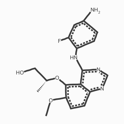 COc1ccc2ncnc(Nc3ccc(N)cc3F)c2c1O[C@H](C)CO